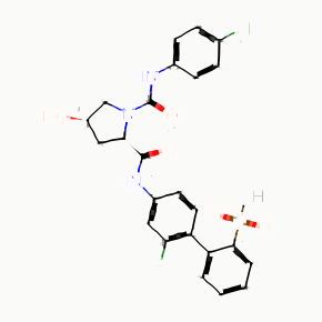 CS(=O)(=O)c1ccccc1-c1ccc(NC(=O)[C@H]2C[C@@H](O)CN2C(=O)Nc2ccc(Cl)cc2)cc1F